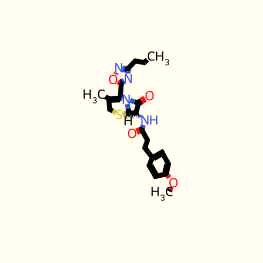 CCCc1noc(C2=C(C)CS[C@@H]3[C@H](NC(=O)CCc4ccc(OC)cc4)C(=O)N23)n1